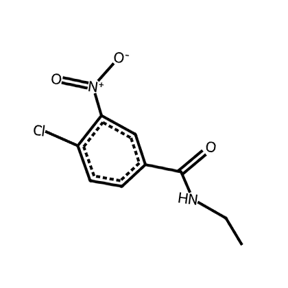 CCNC(=O)c1ccc(Cl)c([N+](=O)[O-])c1